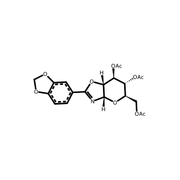 CC(=O)OC[C@H]1O[C@@H]2N=C(c3ccc4c(c3)OCO4)O[C@@H]2[C@@H](OC(C)=O)[C@@H]1OC(C)=O